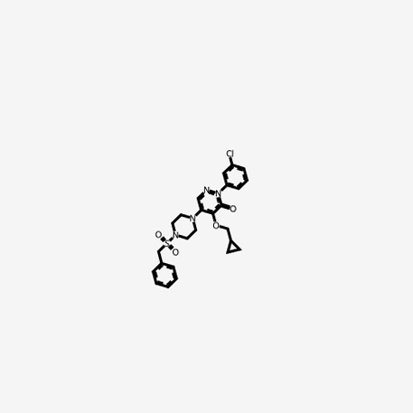 O=c1c(OCC2CC2)c(N2CCN(S(=O)(=O)Cc3ccccc3)CC2)cnn1-c1cccc(Cl)c1